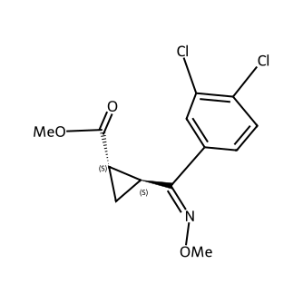 CON=C(c1ccc(Cl)c(Cl)c1)[C@H]1C[C@@H]1C(=O)OC